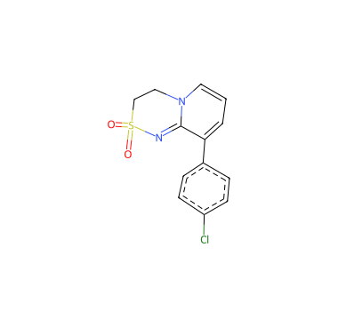 O=S1(=O)CCN2C=CC=C(c3ccc(Cl)cc3)C2=N1